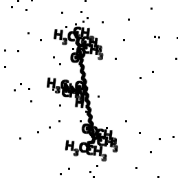 CC(C)CCC(COC(=O)CCCCCCCCCC(CCCCCCCCCC(=O)OCC(CCC(C)C)C(C)C)NC(=O)CCN(C)C)C(C)C